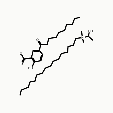 CCCCCCCCCC(=O)c1ccc(O)c(C(=O)[O-])c1.CCCCCCCCCCCCCCCC[N+](C)(C)C(C)O